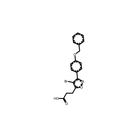 O=C(O)CCc1onc(-c2ccc(OCc3ccccc3)cc2)c1Br